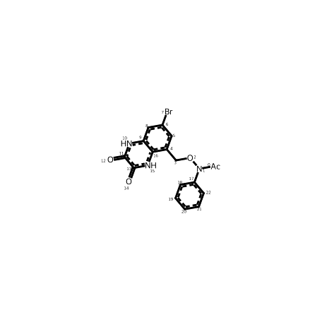 CC(=O)N(OCc1cc(Br)cc2[nH]c(=O)c(=O)[nH]c12)c1ccccc1